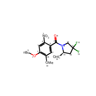 CCCCOc1cc([N+](=O)[O-])c(C(=O)N2CC(F)(F)C[C@H]2C=O)cc1OC